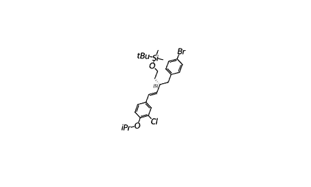 CC(C)Oc1ccc(C=C[C@H](CCO[Si](C)(C)C(C)(C)C)Cc2ccc(Br)cc2)cc1Cl